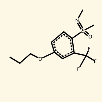 CCCOc1ccc(S(C)(=O)=NC)c(C(F)(F)F)c1